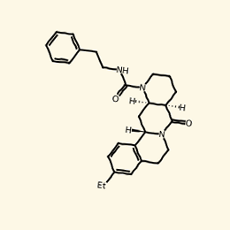 CCc1ccc2c(c1)CCN1C(=O)[C@@H]3CCCN(C(=O)NCCc4ccccc4)[C@@H]3C[C@@H]21